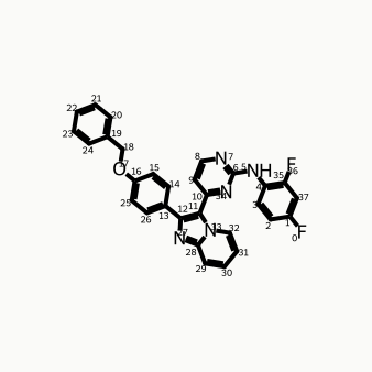 Fc1ccc(Nc2nccc(-c3c(-c4ccc(OCc5ccccc5)cc4)nc4ccccn34)n2)c(F)c1